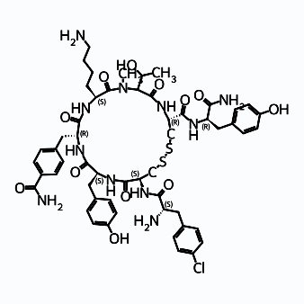 CC(O)C1C(=O)N[C@H](C(=O)N[C@H](Cc2ccc(O)cc2)C(N)=O)CSSC[C@@H](NC(=O)[C@@H](N)Cc2ccc(Cl)cc2)C(=O)N[C@@H](Cc2ccc(O)cc2)C(=O)N[C@H](Cc2ccc(C(N)=O)cc2)C(=O)N[C@@H](CCCCN)C(=O)N1C